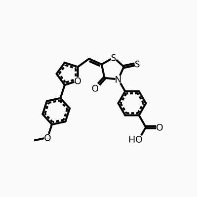 COc1ccc(-c2ccc(C=C3SC(=S)N(c4ccc(C(=O)O)cc4)C3=O)o2)cc1